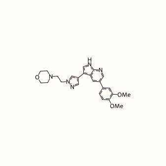 COc1ccc(-c2cnc3[nH]cc(-c4cnn(CCN5CCOCC5)c4)c3c2)cc1OC